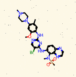 COc1cc(N2CCN(C)CC2)c(C)cc1Nc1ncc(Br)c(Nc2ccc3nccnc3c2N(C)S(C)(=O)=O)n1